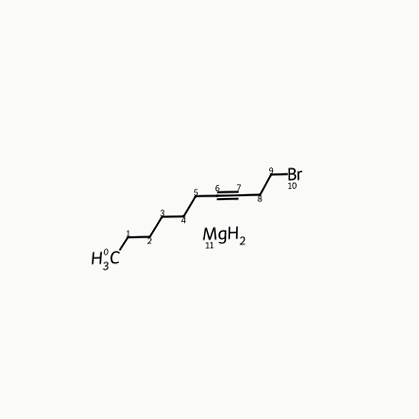 CCCCCCC#CCCBr.[MgH2]